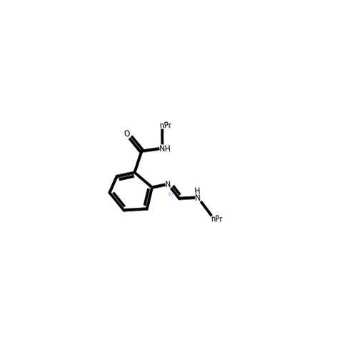 CCCN/C=N/c1ccccc1C(=O)NCCC